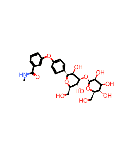 CNC(=O)c1cccc(Oc2ccc([C@H]3O[C@H](CO)[C@@H](O)[C@H](O[C@H]4O[C@H](CO)[C@@H](O)[C@H](O)[C@@H]4O)[C@@H]3O)cc2)c1